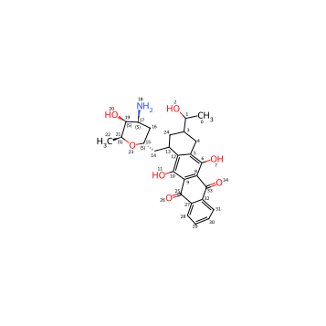 CC(O)C1Cc2c(O)c3c(c(O)c2C(C[C@H]2C[C@H](N)[C@H](O)[C@H](C)O2)C1)C(=O)c1ccccc1C3=O